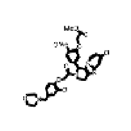 COC(=O)COc1cc(C2c3c(nc4cc(Cl)ccn34)CCN2C(=O)COc2ccc(CN3CCOCC3)cc2Cl)ccc1OC